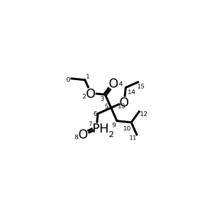 CCOC(=O)C(C[PH2]=O)(CC(C)C)OCC